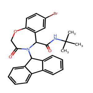 CC(C)(C)NC(=O)C1c2cc(Br)ccc2OCC(=O)N1C1c2ccccc2-c2ccccc21